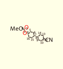 COC(=O)Oc1ccc(-c2ccc(C#N)cc2)cc1